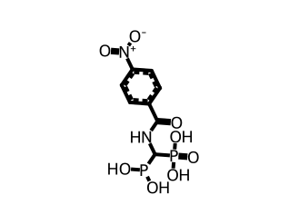 O=C(NC(P(O)O)P(=O)(O)O)c1ccc([N+](=O)[O-])cc1